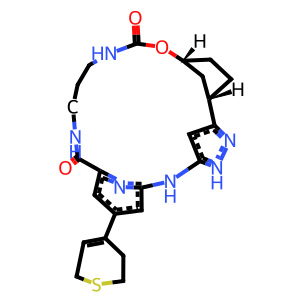 O=C1NCCCNC(=O)c2cc(C3=CCSCC3)cc(n2)Nc2cc(n[nH]2)[C@H]2CC[C@H](C2)O1